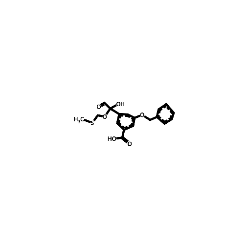 CSCOC(O)(C=O)c1cc(OCc2ccccc2)cc(C(=O)O)c1